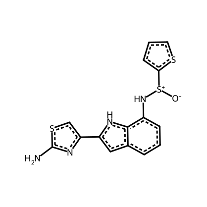 Nc1nc(-c2cc3cccc(N[S+]([O-])c4cccs4)c3[nH]2)cs1